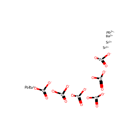 [Ba+2].[Ba+2].[O]=[Ti]([O-])[O-].[O]=[Ti]([O-])[O-].[O]=[Ti]([O-])[O-].[O]=[Zr]([O-])[O-].[O]=[Zr]([O-])[O-].[O]=[Zr]([O-])[O-].[Pb+2].[Pb+2].[Sr+2].[Sr+2]